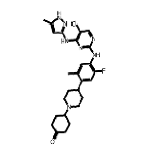 Cc1cc(Nc2nc(Nc3cc(C)c(C4CCN(C5CCC(=O)CC5)CC4)cc3F)ncc2Cl)n[nH]1